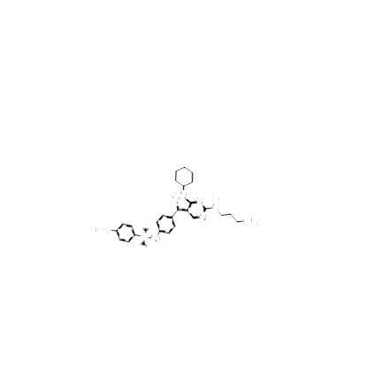 CCCCNc1ncc2c(-c3ccc(NS(=O)(=O)c4ccc(C)cc4)cc3)nn(C3CCCCC3)c2n1